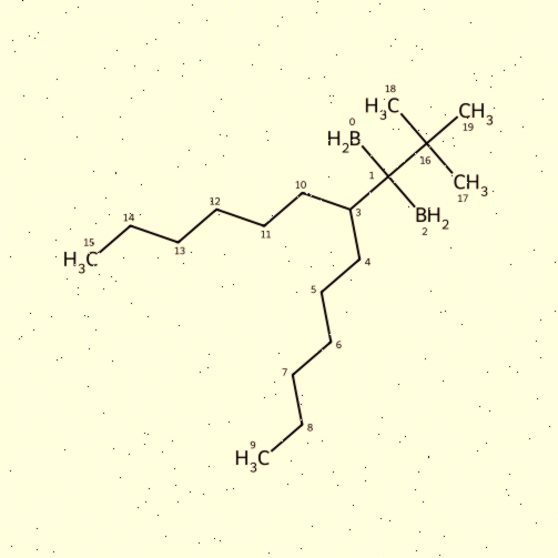 BC(B)(C(CCCCCC)CCCCCC)C(C)(C)C